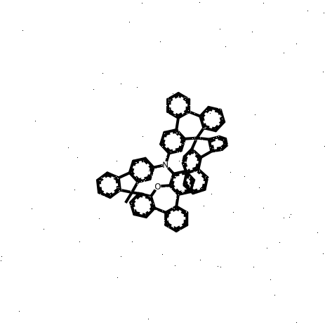 CC1(C)c2ccccc2-c2ccc(N(c3ccc4c(c3)C3(c5ccccc5-c5ccccc5-4)c4ccccc4-c4c3ccc3ccccc43)c3cccc4c3Oc3ccccc3-c3ccccc3-4)cc21